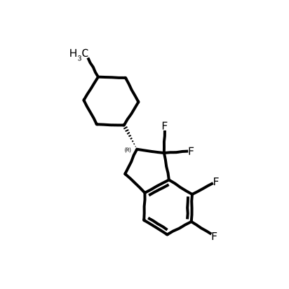 CC1CCC([C@H]2Cc3ccc(F)c(F)c3C2(F)F)CC1